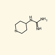 N=C(N)NC1CC[N]CC1